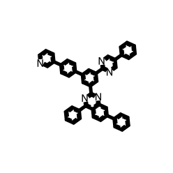 c1ccc(-c2cnc(-c3cc(-c4ccc(-c5cccnc5)cc4)cc(-c4nc(-c5ccccc5)c5ccc(-c6ccccc6)cc5n4)c3)nc2)cc1